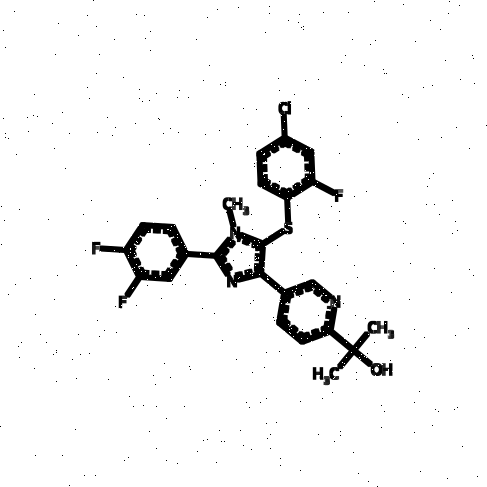 Cn1c(-c2ccc(F)c(F)c2)nc(-c2ccc(C(C)(C)O)nc2)c1Sc1ccc(Cl)cc1F